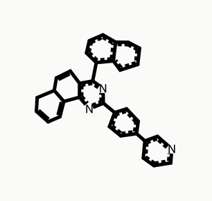 C1=CCC2C=Cc3c(nc(-c4ccc(-c5cccnc5)cc4)nc3-c3cccc4ccccc34)C2=C1